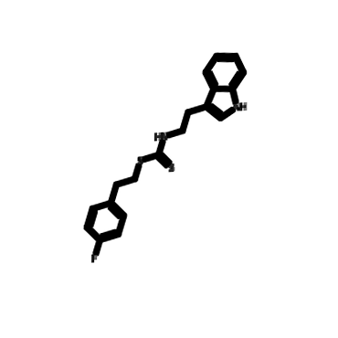 Fc1ccc(CCSC(=S)NCCc2c[nH]c3ccccc23)cc1